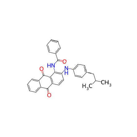 CC(C)Cc1ccc(Nc2ccc3c(c2NC(=O)c2ccccc2)C(=O)c2ccccc2C3=O)cc1